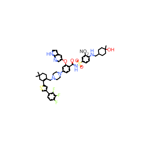 CC1(C)CCC(CN2CCN(c3ccc(C(=O)NS(=O)(=O)c4ccc(NCC5CCC(C)(O)CC5)c([N+](=O)[O-])c4)c(Oc4cnc5[nH]ccc5c4)c3)CC2)=C(c2cc(-c3ccc(F)c(F)c3F)cs2)C1